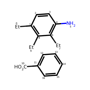 CCc1ccc(N)c(CC)c1CC.O=C(O)c1ccccc1